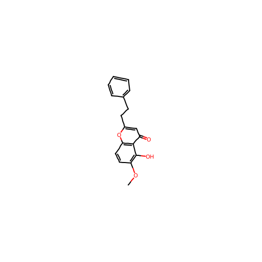 COc1ccc2oc(CCc3ccccc3)cc(=O)c2c1O